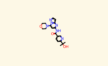 CC(C)(O)c1ccc(C(=O)Nc2cc(N3CCOCC3)n3nccc3n2)cn1